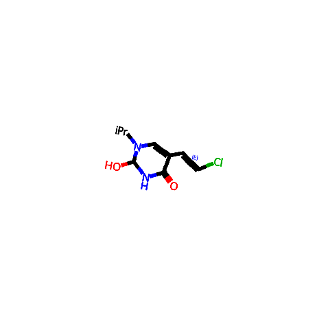 CC(C)N1C=C(/C=C/Cl)C(=O)NC1O